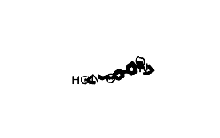 O=C(c1ccc(-c2ccc(OCCCN3CC[C@@H](O)C3)cc2)cc1)N1CCCC1